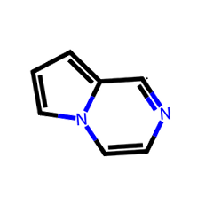 [c]1nccn2cccc12